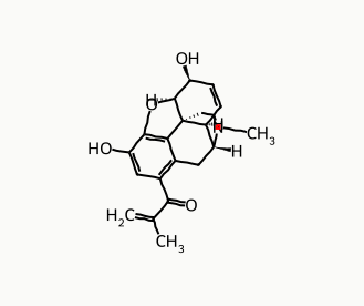 C=C(C)C(=O)c1cc(O)c2c3c1C[C@@H]1[C@@H]4C=C[C@H](O)[C@H](O2)[C@]34CCN1C